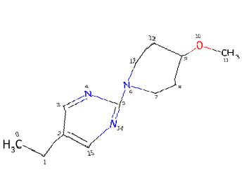 CCc1cnc(N2CCC(OC)CC2)nc1